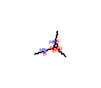 CC/C=C/CCC(=O)NCCCOC(=O)c1cc(NC(=O)CC/C=C/CC)ccc1OC(=O)CC/C=C/CC